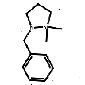 C[Si]1(C)CCCN1Cc1ccccc1